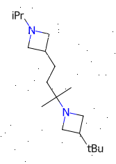 CC(C)N1CC(CCC(C)(C)N2CC(C(C)(C)C)C2)C1